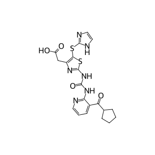 O=C(O)Cc1nc(NC(=O)Nc2ncccc2C(=O)C2CCCC2)sc1Sc1ncc[nH]1